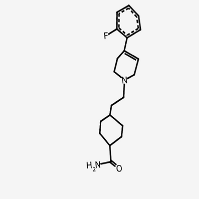 NC(=O)C1CCC(CCN2CC=C(c3ccccc3F)CC2)CC1